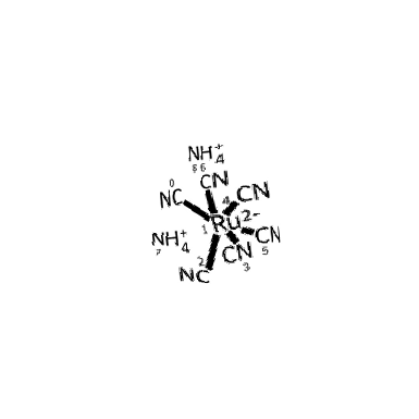 N#[C][Ru-2]([C]#N)([C]#N)([C]#N)([C]#N)[C]#N.[NH4+].[NH4+]